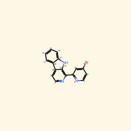 Brc1ccnc(-c2nccc3c2[nH]c2ccccc23)c1